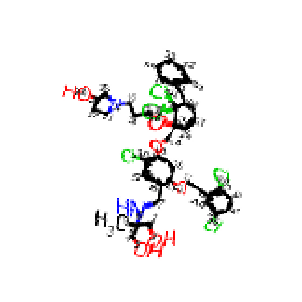 CC(CO)(CO)NCc1cc(Cl)c(OC[C@]2(OCCCN3CCC(O)C3)C=CC=C(c3ccccc3)C2(Cl)Cl)cc1OCc1cc(Cl)ccc1Cl